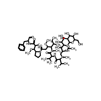 CCC(C)C(C(CC(=O)N1CCCC1C(OC)C(C)C(=O)NC(C=O)Cc1ccccc1)OC)N(C)C(=O)C(NC(=O)C(C(C)C)N(C)CC(NC(C)=O)C(O)C(OC1OC(CO)C(O)C(O)C1O)C(O)CO)C(C)C